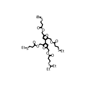 CCSCCC(=O)OCc1oc(COC(=O)CCSC(C)CC)cc1-c1cc(COC(=O)CCSC(CC)CC)oc1COC(=O)CCSCC